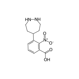 O=C(O)c1cccc(C2CCNNCC2)c1[N+](=O)[O-]